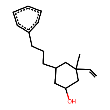 C=CC1(C)CC(O)CC(CCCc2ccccc2)C1